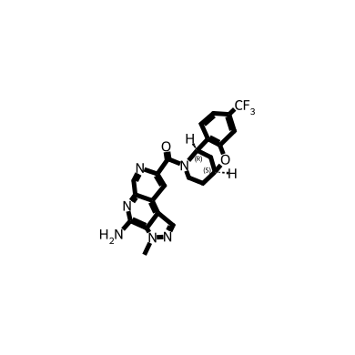 Cn1ncc2c3cc(C(=O)N4CC[C@H]5C[C@@H]4c4ccc(C(F)(F)F)cc4O5)ncc3nc(N)c21